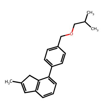 CC1=Cc2cccc(-c3ccc(COCC(C)C)cc3)c2C1